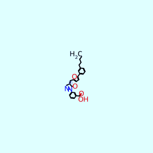 C=CCCCc1cccc(-c2ccc(/C=C3/C=NN(c4cccc(C(=O)O)c4)C3=O)o2)c1